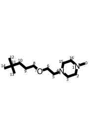 CN1CCN(CCOCCCC(C)(C)C)CC1